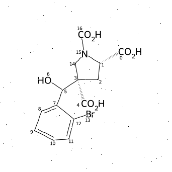 O=C(O)[C@@H]1C[C@@](C(=O)O)(C(O)c2ccccc2Br)CN1C(=O)O